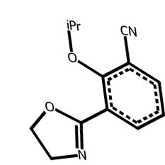 CC(C)Oc1c(C#N)cccc1C1=NCCO1